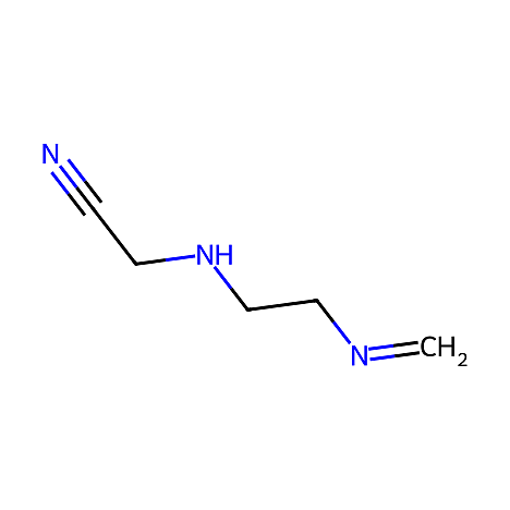 C=NCCNCC#N